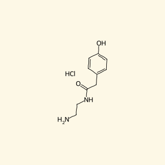 Cl.NCCNC(=O)Cc1ccc(O)cc1